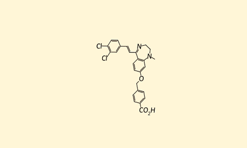 CN1CCN=C(/C=C/c2ccc(Cl)c(Cl)c2)c2ccc(OCc3ccc(C(=O)O)cc3)cc21